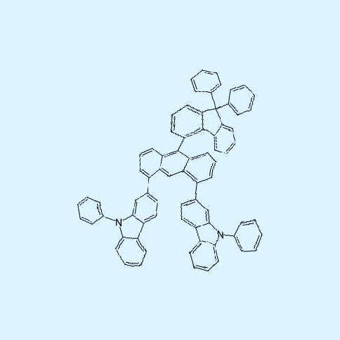 c1ccc(-n2c3ccccc3c3ccc(-c4cccc5c(-c6cccc7c6-c6ccccc6C7(c6ccccc6)c6ccccc6)c6cccc(-c7ccc8c9ccccc9n(-c9ccccc9)c8c7)c6cc45)cc32)cc1